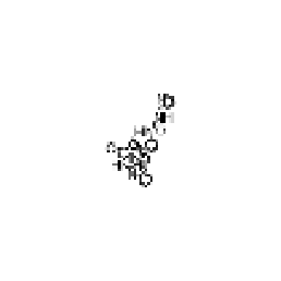 COc1cc(Nc2nc3ccccc3nc2NS(=O)(=O)c2cccc(NC(=O)CNCc3ccccn3)c2)cc(OC)c1